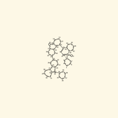 O=S1(c2ccccc2)=NC=C(c2cccc3oc4ccc(-c5ccc6c(c5)c5ccccc5n6-c5ccccc5)cc4c23)c2ccccc21